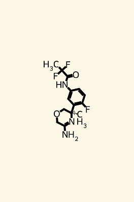 CC(F)(F)C(=O)Nc1ccc(F)c([C@]2(C)COCC(N)=N2)c1